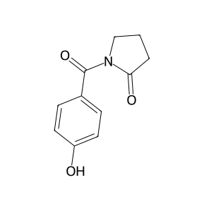 O=C1CCCN1C(=O)c1ccc(O)cc1